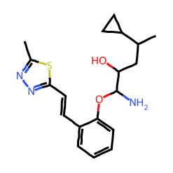 Cc1nnc(C=Cc2ccccc2OC(N)C(O)CC(C)C2CC2)s1